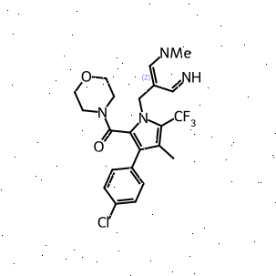 CN/C=C(\C=N)Cn1c(C(=O)N2CCOCC2)c(-c2ccc(Cl)cc2)c(C)c1C(F)(F)F